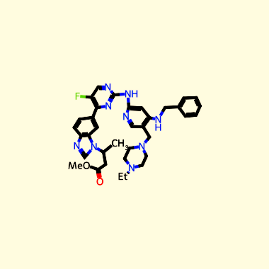 CCN1CCN(Cc2cnc(Nc3ncc(F)c(-c4ccc5ncn(C(C)CC(=O)OC)c5c4)n3)cc2NCc2ccccc2)CC1